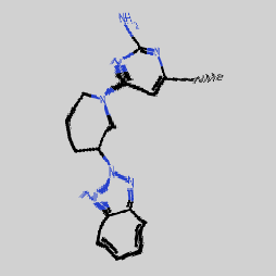 CNc1cc(N2CCCC(n3nc4ccccc4n3)C2)nc(N)n1